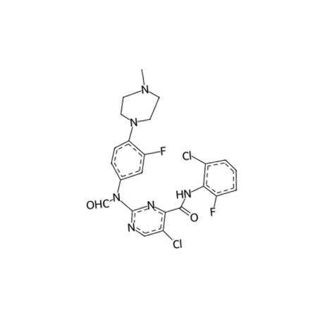 CN1CCN(c2ccc(N(C=O)c3ncc(Cl)c(C(=O)Nc4c(F)cccc4Cl)n3)cc2F)CC1